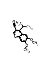 COc1cc2ncc(C#N)c(C(C)C)c2cc1OC